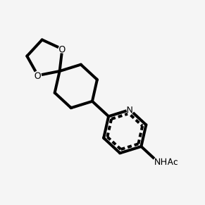 CC(=O)Nc1ccc(C2CCC3(CC2)OCCO3)nc1